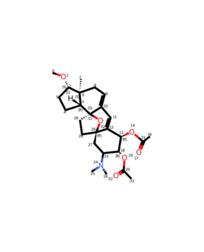 CO[C@H]1CC[C@@H]2[C@]1(C)CC=C1C=C3[C@@H](OC(C)=O)[C@H](OC(C)=O)C(N(C)C)C[C@]34CC[C@@]12O4